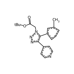 Cc1cccc(-c2c(-c3ccncc3)nnn2CC(=O)OC(C)(C)C)c1